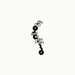 CC(C)(C)C(=O)Oc1ccc(-c2cnc3ccc(NC(=O)NCCCCc4ccccc4)nc3n2)cc1